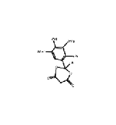 CCCc1c(C2(CCC)OC(=O)CC(=O)O2)cc(OC)c(O)c1OC